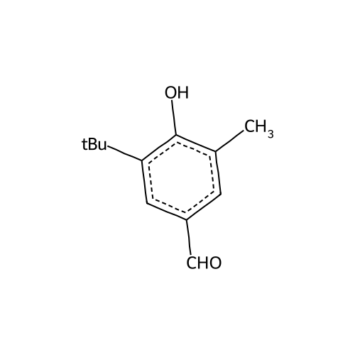 Cc1cc(C=O)cc(C(C)(C)C)c1O